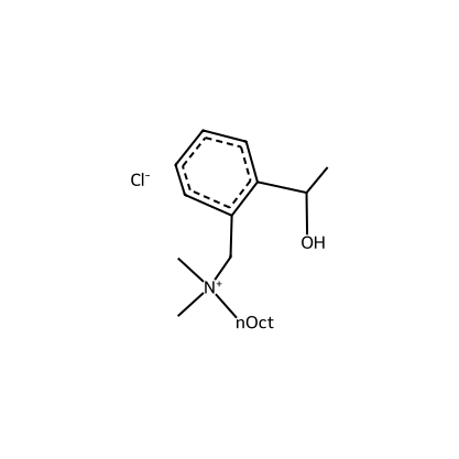 CCCCCCCC[N+](C)(C)Cc1ccccc1C(C)O.[Cl-]